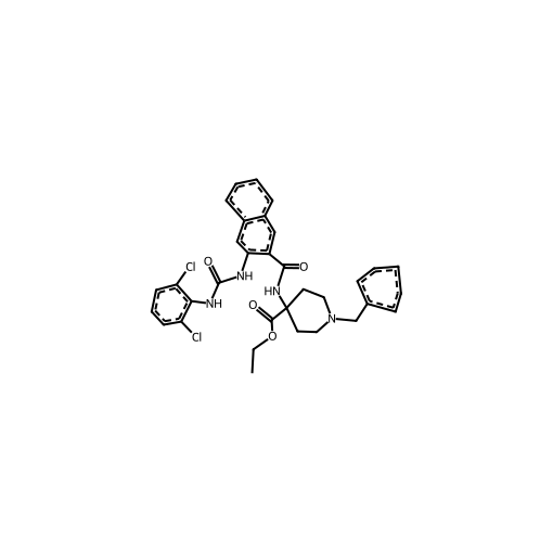 CCOC(=O)C1(NC(=O)c2cc3ccccc3cc2NC(=O)Nc2c(Cl)cccc2Cl)CCN(Cc2ccccc2)CC1